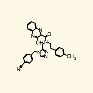 Cc1ccc(CCN(Cc2nncn2Cc2ccc(C#N)cc2)C(=O)c2nc3ccccc3nc2O)cc1